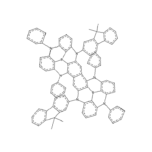 CC1(C)c2ccccc2-c2ccc(N3c4cccc5c4B4c6c(cccc6N(c6ccccc6)c6c4c3cc3c4c7c(cc63)N(c3ccc6c(c3)C(C)(C)c3ccccc3-6)c3cccc6c3B7c3c(cccc3N4c3ccccc3)N6c3ccccc3)N5c3ccccc3)cc21